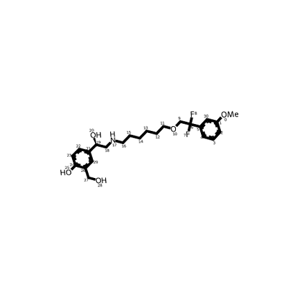 COc1cccc(C(F)(F)COCCCCCCNC[C@H](O)c2ccc(O)c(CO)c2)c1